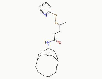 CC(CCC(=O)NC1CCC2CCCCCCC(CCC2)CC1)SSc1ccccn1